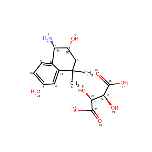 CC1(C)C[C@@H](O)[C@H](N)c2ccccc21.O.O=C(O)[C@@H](O)[C@H](O)C(=O)O